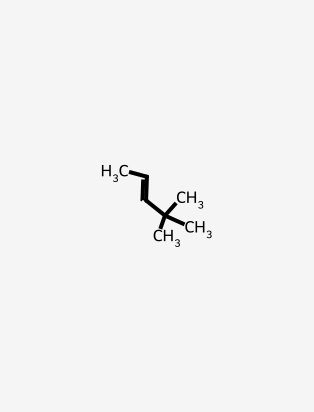 C/C=[C]/C(C)(C)C